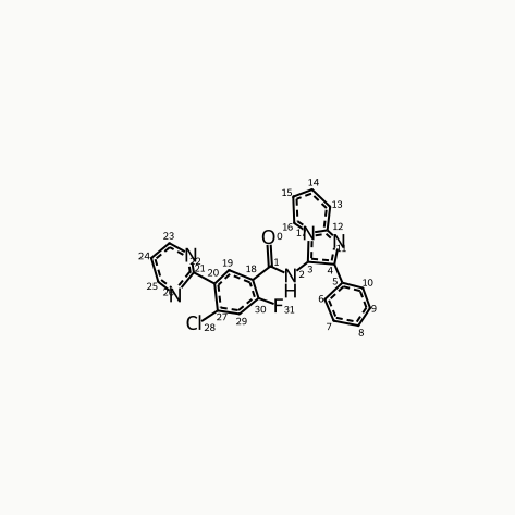 O=C(Nc1c(-c2ccccc2)nc2ccccn12)c1cc(-c2ncccn2)c(Cl)cc1F